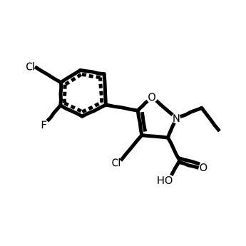 CCN1OC(c2ccc(Cl)c(F)c2)=C(Cl)C1C(=O)O